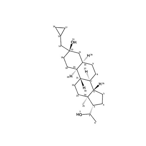 CC(O)[C@H]1CC[C@H]2[C@@H]3CC[C@@H]4C[C@@](O)(CC5CC5)CC[C@@H]4[C@H]3CC[C@]12C